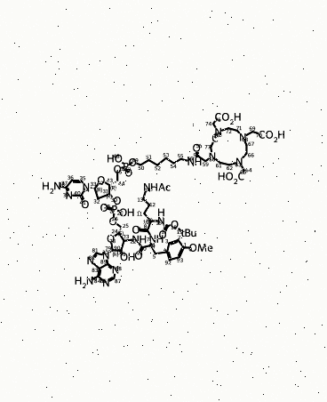 COc1ccc(C[C@H](NC(=O)[C@@H](CCCNC(C)=O)NC(=O)OC(C)(C)C)C(=O)NC2[C@@H](COP(=O)(O)O[C@@H]3C[C@H](n4ccc(N)nc4=O)O[C@@H]3COP(=O)(O)OCCCCCCNC(=O)CN3CCN(CC(=O)O)CCN(CC(=O)O)CCN(CC(=O)O)CC3)O[C@@H](n3cnc4c(N)ncnc43)[C@H]2O)cc1